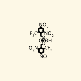 O=Nc1cc([N+](=O)[O-])c(COP(=O)(O)OCc2c([N+](=O)[O-])cc([N+](=O)[O-])cc2C(F)(F)F)c(C(F)(F)F)c1